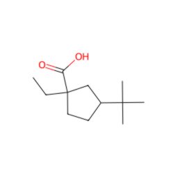 CCC1(C(=O)O)CCC(C(C)(C)C)C1